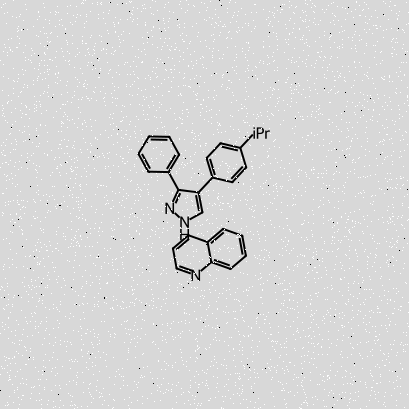 CC(C)c1ccc(-c2c[nH]nc2-c2ccccc2)cc1.c1ccc2ncccc2c1